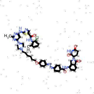 Cc1nc(Nc2ncc(C(=O)Nc3c(C)cccc3Cl)s2)cc(N2CCN(CCCCCCOc3ccc(N=Nc4ccc(C(=O)Nc5cccc6c5CN(C5CCC(=O)NC5=O)C6=O)cc4)cc3)CC2)n1